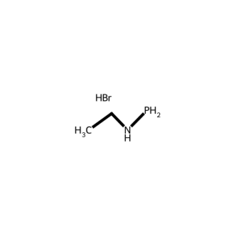 Br.CCNP